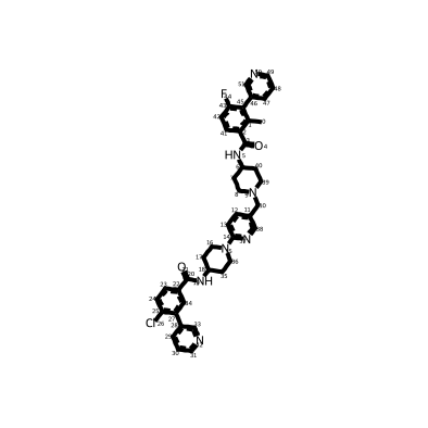 Cc1c(C(=O)NC2CCN(Cc3ccc(N4CCC(NC(=O)c5ccc(Cl)c(-c6cccnc6)c5)CC4)nc3)CC2)ccc(F)c1-c1cccnc1